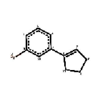 Brc1cccc(C2=CCCC2)c1